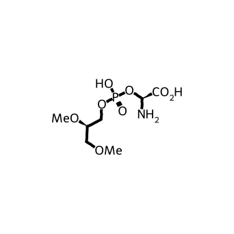 COC[C@H](COP(=O)(O)O[C@H](N)C(=O)O)OC